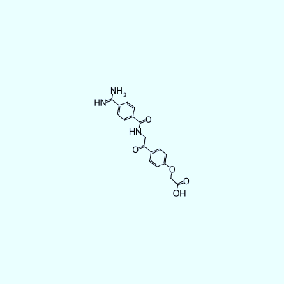 N=C(N)c1ccc(C(=O)NCC(=O)c2ccc(OCC(=O)O)cc2)cc1